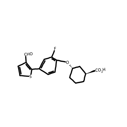 O=Cc1ccsc1-c1ccc(O[C@H]2CCC[C@H](C(=O)O)C2)c(F)c1